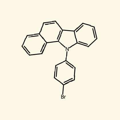 Brc1ccc(-n2c3ccccc3c3ccc4ccccc4c32)cc1